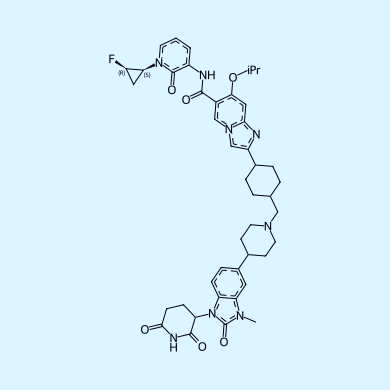 CC(C)Oc1cc2nc(C3CCC(CN4CCC(c5ccc6c(c5)n(C)c(=O)n6C5CCC(=O)NC5=O)CC4)CC3)cn2cc1C(=O)Nc1cccn([C@H]2C[C@H]2F)c1=O